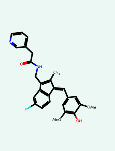 COc1cc(/C=C2/C(C)=C(CNC(=O)Cc3cccnc3)c3cc(F)ccc32)cc(OC)c1O